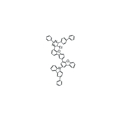 CCC1C(c2cccc3c2oc2ccc(-c4cc(-n5c6ccccc6c6cc(-c7ccccc7)ccc65)cc5c4oc4ccccc45)cc23)=NC(c2ccccc2)=NC1c1ccc(-c2ccccc2)cc1